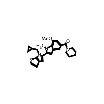 COc1cc(C(=O)N2CCCCC2)cc2cc(-c3cc4ccsc4n3CC3CC3)n(C)c12